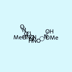 COc1cc(N2CCOCC2)ccc1Nc1nc(Nc2ccc3c(c2)CCC(N(CCO)OC)CC3)ncc1Cl